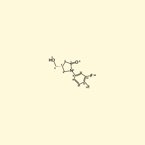 O=C1C[C@@H](CO)CN1c1ccc(I)c(F)c1